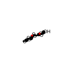 CCOc1ccc(C(=O)Oc2ccc3cc(C(=O)OCCc4ccc(OC(=O)c5ccc(O)cc5)cc4)ccc3c2)cc1